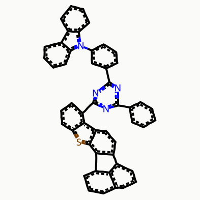 c1ccc(-c2nc(-c3cccc(-n4c5ccccc5c5ccccc54)c3)nc(-c3cccc4sc5c6c(ccc5c34)-c3cccc4cccc-6c34)n2)cc1